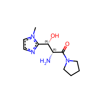 Cn1ccnc1[C@H](O)[C@@H](N)C(=O)N1CCCC1